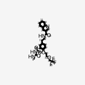 CNC(=O)NS(=O)(=O)c1cc(CCNC(=O)c2cnc3ccccc3c2)ccc1OCCOCC(F)(F)F